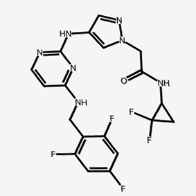 O=C(Cn1cc(Nc2nccc(NCc3c(F)cc(F)cc3F)n2)cn1)NC1CC1(F)F